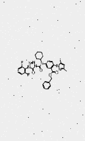 Cc1cc(C)n(-c2ccc(N(C(=O)n3nnn(-c4c(F)cccc4F)c3=O)C3CCCCC3)cc2C(=O)OCc2ccccc2)n1